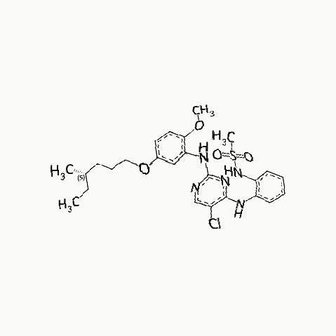 CC[C@H](C)CCCOc1ccc(OC)c(Nc2ncc(Cl)c(Nc3ccccc3NS(C)(=O)=O)n2)c1